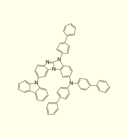 c1ccc(-c2ccc(N(c3ccc(-c4ccccc4)cc3)c3ccc4c(c3)n3c5cc(-n6c7ccccc7c7ccccc76)ccc5nc3n4-c3ccc(-c4ccccc4)cc3)cc2)cc1